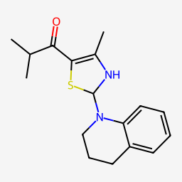 CC1=C(C(=O)C(C)C)SC(N2CCCc3ccccc32)N1